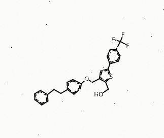 OCc1sc(-c2ccc(C(F)(F)F)cc2)cc1COc1ccc(CCc2ccccc2)cc1